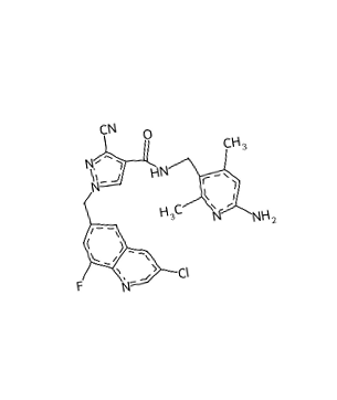 Cc1cc(N)nc(C)c1CNC(=O)c1cn(Cc2cc(F)c3ncc(Cl)cc3c2)nc1C#N